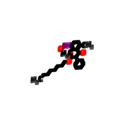 CCCCCCCCOC(=O)C(C(=O)c1c(C)cccc1C)c1ccccc1.O=[PH3]